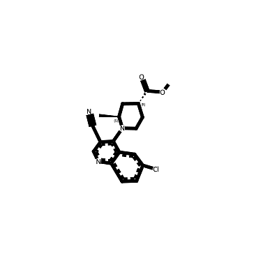 COC(=O)[C@@H]1CCN(c2c(C#N)cnc3ccc(Cl)cc23)[C@@H](C)C1